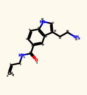 C=CCNC(=O)c1ccc2[nH]cc(CCN)c2c1